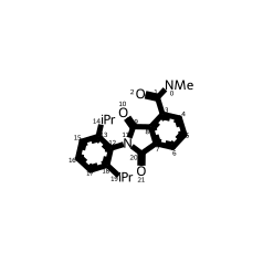 CNC(=O)c1cccc2c1C(=O)N(c1c(C(C)C)cccc1C(C)C)C2=O